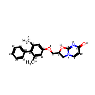 Cc1cc(OCC2Cn3ccc(=O)nc3O2)cc(C)c1-c1ccccc1